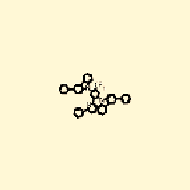 FC(F)(F)c1cc(-n2c3ccccc3c3cc(-c4ccccc4)ccc32)c(-c2cccc(-c3ccccc3)n2)cc1-n1c2ccccc2c2cc(-c3ccccc3)ccc21